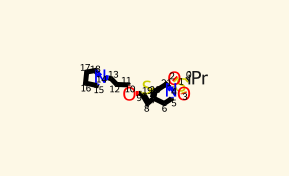 CC(C)S(=O)(=O)N1CCc2cc(OCCCN3CCCC3)sc2C1